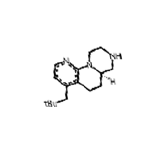 CC(C)(C)Cc1ccnc2c1CC[C@@H]1CNCCN21